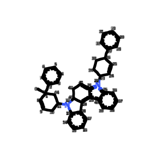 C[C@]1(c2ccccc2)C=CCC(N2c3ccccc3C3=c4c(n(C5C=CC(c6ccccc6)CC5)c5ccccc45)=CCC32)C1